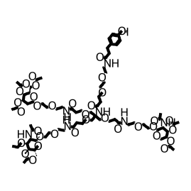 CCO[C@H]1[C@H](NC(C)=O)[C@H](OCCOCCNC(=O)CCOCC(COCCC(=O)NCCOCCO[C@H]2C[C@@H](OC(C)=O)[C@@H](OC(C)=O)[C@@H](COC(C)=O)O2)(COCCC(=O)NCCOCCO[C@H]2OC[C@@H](OC(C)=O)[C@@H](OC(C)=O)[C@@H]2NC(C)=O)NC(=O)CCOCCOCCNC(=O)CCc2ccc(OI)cc2)O[C@H](C)[C@H]1OC(C)=O